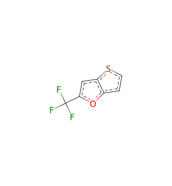 FC(F)(F)c1cc2sccc2o1